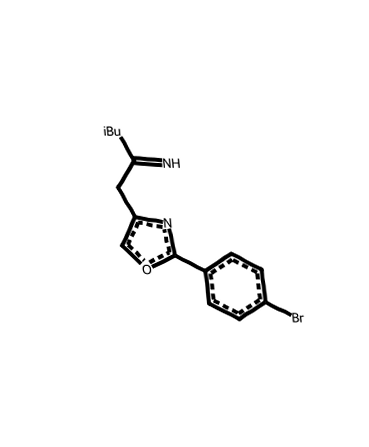 CCC(C)C(=N)Cc1coc(-c2ccc(Br)cc2)n1